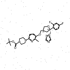 Cc1nc(N2CCN(C(=O)OC(C)(C)C)CC2)ccc1OC[C@H]1CO[C@@](Cn2cncn2)(c2ccc(F)cc2F)C1